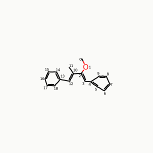 COC(=Cc1ccccc1)C(C)=Cc1ccccc1